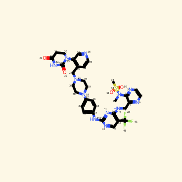 CN(c1nccnc1CNc1nc(Nc2ccc(N3CCN(Cc4ccncc4N4CCC(=O)NC4=O)CC3)cc2)ncc1C(F)(F)F)S(C)(=O)=O